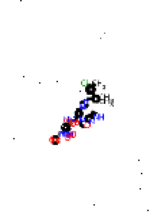 Cc1cc(C2=C(CN3CCN(c4ccc(C(=O)NS(=O)(=O)c5ccc(NC[C@H]6COCCO6)c([N+](=O)[O-])c5)c(N5CCCOc6nc7[nH]ccc7cc65)c4)CC3)CCC(C)(C)C2)ccc1Cl